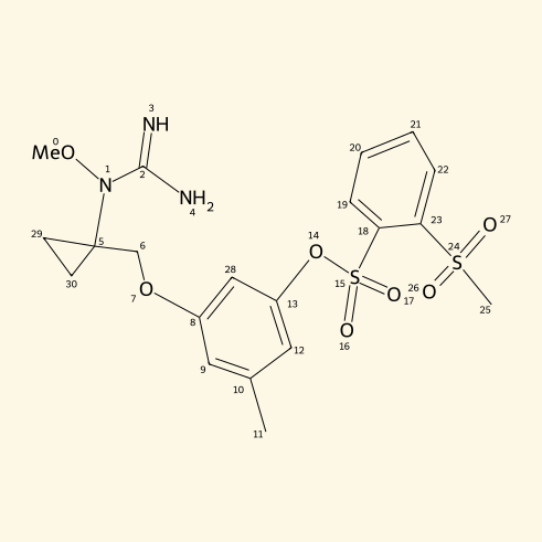 CON(C(=N)N)C1(COc2cc(C)cc(OS(=O)(=O)c3ccccc3S(C)(=O)=O)c2)CC1